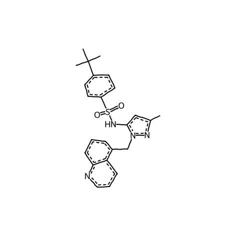 Cc1cc(NS(=O)(=O)c2ccc(C(C)(C)C)cc2)n(Cc2cccc3ncccc23)n1